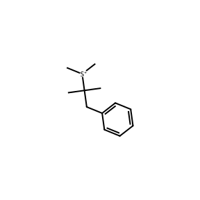 C[S+](C)C(C)(C)Cc1ccccc1